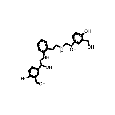 OCc1cc(C(O)CNCCc2ccccc2NCC(O)c2ccc(O)c(CO)c2)ccc1O